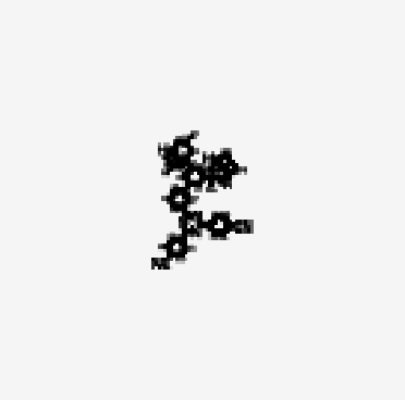 C[C@@H]1C[C@@H]2C[C@H](C)CC(c3cc(-c4cccc(-c5nc(-c6ccc(C#N)cc6)nc(-c6ccc(C#N)cc6)n5)c4)cc(C4(C)C[C@H]5CC6C[C@@H](C4)[C@H]65)c3)(C1)C2